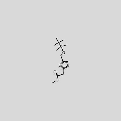 COC(=O)Cc1ccc(CO[Si](C)(C)C(C)(C)C)s1